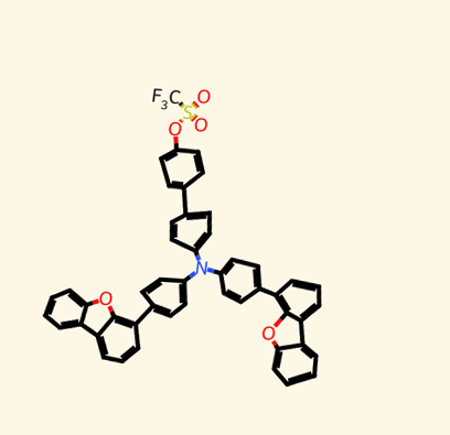 O=S(=O)(Oc1ccc(-c2ccc(N(c3ccc(-c4cccc5c4oc4ccccc45)cc3)c3ccc(-c4cccc5c4oc4ccccc45)cc3)cc2)cc1)C(F)(F)F